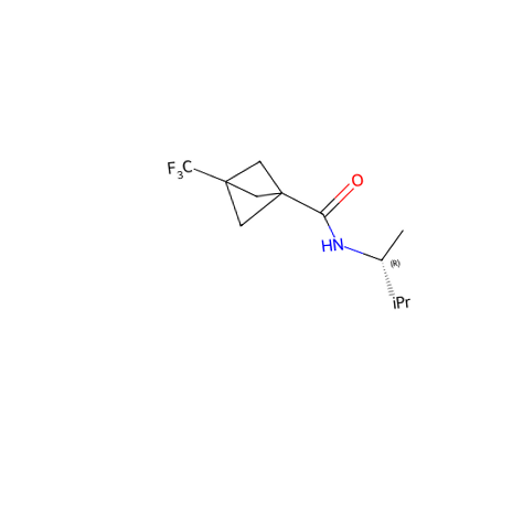 CC(C)[C@@H](C)NC(=O)C12CC(C(F)(F)F)(C1)C2